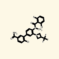 CN(C(=O)c1c(F)cccc1Cl)c1ccc(-c2cc(C(N)=O)ccc2Cl)cc1N1CC(C(F)(F)F)C1